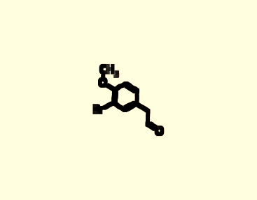 COc1ccc(CC=O)cc1Br